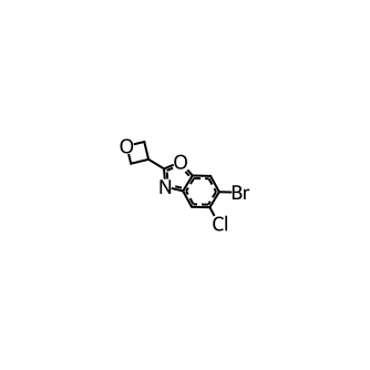 Clc1cc2nc(C3COC3)oc2cc1Br